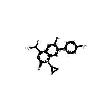 NC(O)c1cc(=O)n(C2CC2)c2cc(-c3ccc(O)cc3)c(F)cc12